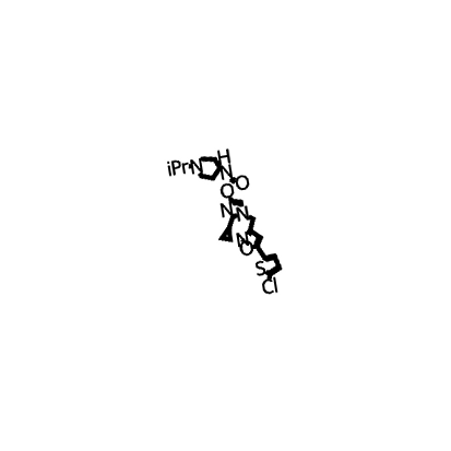 CC(C)N1CCC(NC(=O)Oc2cn(Cc3cc(-c4ccc(Cl)s4)on3)c(C3CC3)n2)CC1